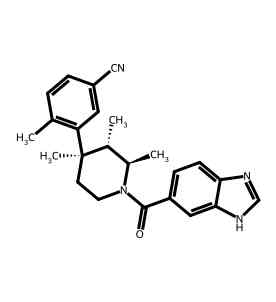 Cc1ccc(C#N)cc1[C@]1(C)CCN(C(=O)c2ccc3nc[nH]c3c2)[C@H](C)[C@H]1C